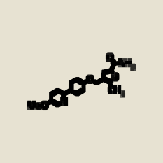 COc1ccc(-c2ccc(OCc3cc(C(N)=O)oc3C)cc2)nc1